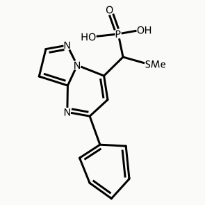 CSC(c1cc(-c2ccccc2)nc2ccnn12)P(=O)(O)O